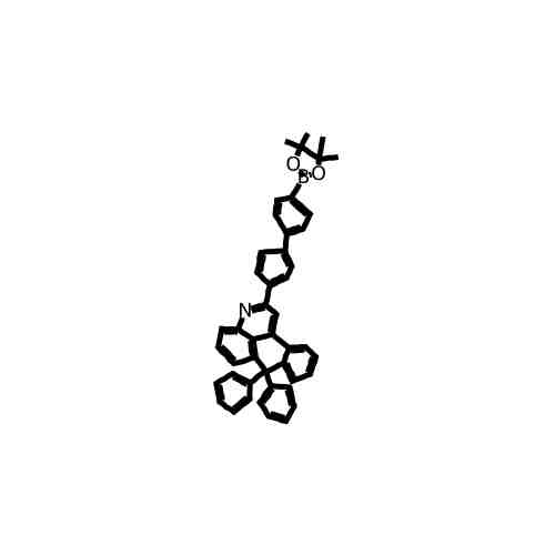 CC1(C)OB(c2ccc(-c3ccc(-c4cc5c6c(cccc6n4)C(c4ccccc4)(c4ccccc4)c4ccccc4-5)cc3)cc2)OC1(C)C